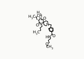 CCCCN1C(=O)[C@H](CC(C)C)NC(=O)C12CCN(Cc1ccc(C(=O)NCCCOC)cc1)CC2